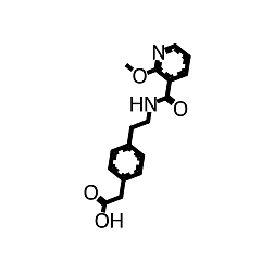 COc1ncccc1C(=O)NCCc1ccc(CC(=O)O)cc1